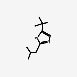 CC(C)Cc1ncc(C(C)(C)C)[nH]1